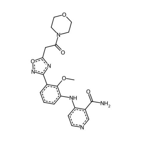 COc1c(Nc2ccncc2C(N)=O)cccc1-c1noc(CC(=O)N2CCOCC2)n1